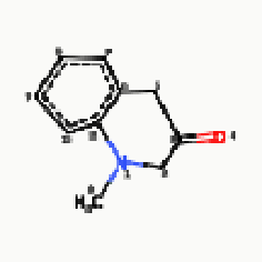 CN1CC(=O)Cc2ccccc21